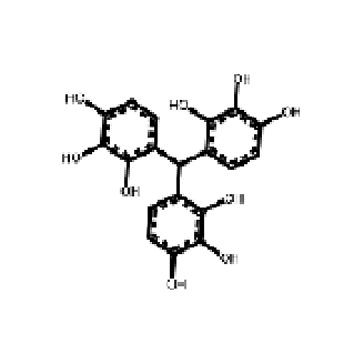 Oc1ccc(C(c2ccc(O)c(O)c2O)c2ccc(O)c(O)c2O)c(O)c1O